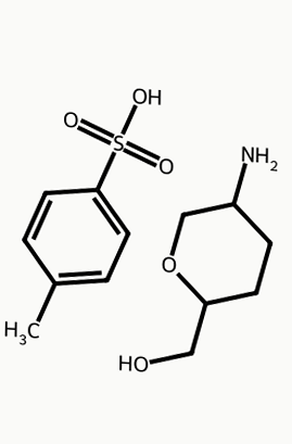 Cc1ccc(S(=O)(=O)O)cc1.NC1CCC(CO)OC1